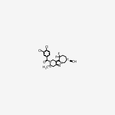 C#C[C@H]1CCC(F)(F)c2c3c(nn2C1)C[C@@H](C)N(C(=O)c1ccc(Cl)c(Cl)c1)C3